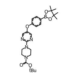 CC(C)(C)OC(=O)N1CCN(c2ncc(Oc3ccc(B4OC(C)(C)C(C)(C)O4)cc3)cn2)CC1